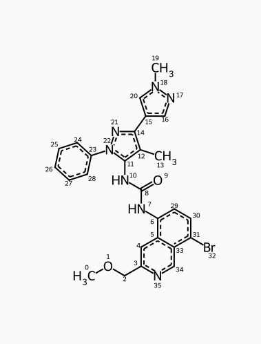 COCc1cc2c(NC(=O)Nc3c(C)c(-c4cnn(C)c4)nn3-c3ccccc3)ccc(Br)c2cn1